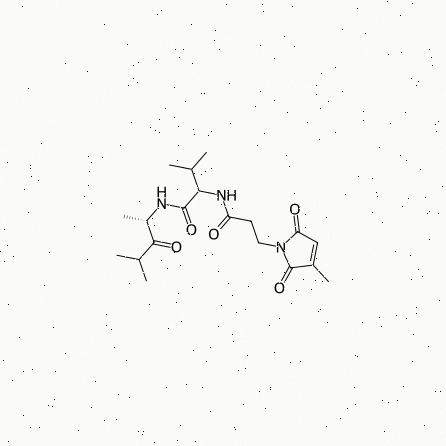 CC1=CC(=O)N(CCC(=O)NC(C(=O)N[C@@H](C)C(=O)C(C)C)C(C)C)C1=O